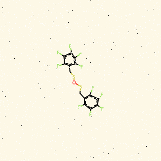 Fc1c(F)c(F)c(CSOSCc2c(F)c(F)c(F)c(F)c2F)c(F)c1F